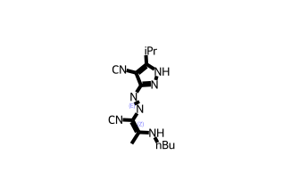 [C-]#[N+]C(/N=N/c1n[nH]c(C(C)C)c1[N+]#[C-])=C(\C)NCCCC